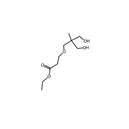 CCOC(=O)CCOCC(C)(CO)CO